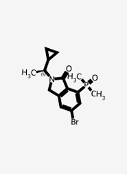 C[C@@H](C1CC1)N1Cc2cc(Br)cc(P(C)(C)=O)c2C1=O